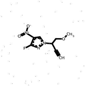 C#CC(COC)n1cc([N+](=O)[O-])c(F)n1